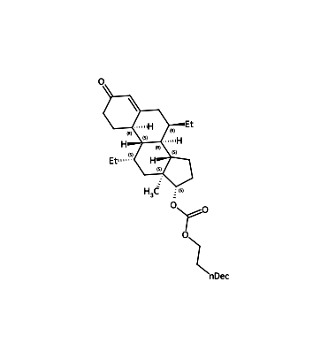 CCCCCCCCCCCCOC(=O)O[C@H]1CC[C@H]2[C@@H]3[C@H](CC)CC4=CC(=O)CC[C@@H]4[C@H]3[C@@H](CC)C[C@]12C